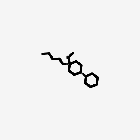 CCCCC[C@]1(OC)CC[C@H](C2CCCCC2)CC1